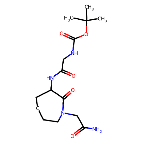 CC(C)(C)OC(=O)NCC(=O)NC1CCCCN(CC(N)=O)C1=O